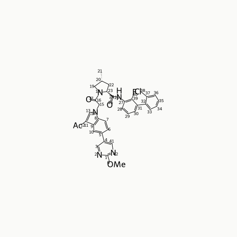 COc1ncc(-c2ccc3c(c2)c(C(C)=O)cn3CC(=O)N2C[C@H](C)C[C@H]2C(=O)Nc2cccc(-c3ccccc3Cl)c2F)cn1